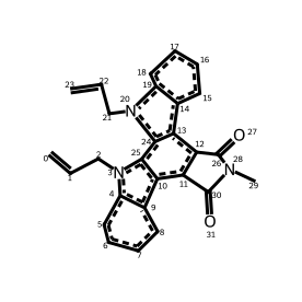 C=CCn1c2ccccc2c2c3c(c4c5ccccc5n(CC=C)c4c21)C(=O)N(C)C3=O